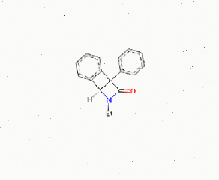 CCN1C(=O)C2(c3ccccc3)c3ccccc3[C@H]12